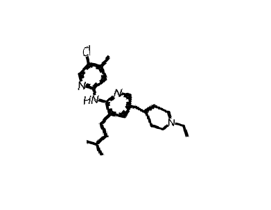 CCN1CCC(c2cnc(Nc3cc(C)c(Cl)cn3)c(CCC(C)C)c2)CC1